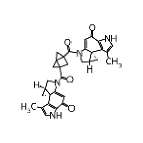 Cc1c[nH]c2c1[C@@]13C[C@@H]1CN(C(=O)C14CC5(C(=O)N6C[C@H]7C[C@@]78C6=CC(=O)c6[nH]cc(C)c68)CC15C4)C3=CC2=O